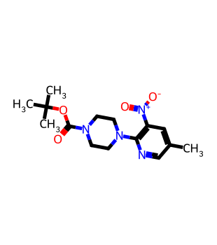 Cc1cnc(N2CCN(C(=O)OC(C)(C)C)CC2)c([N+](=O)[O-])c1